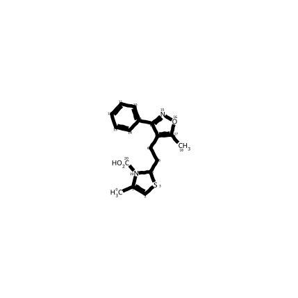 CC1=CSC(CCc2c(-c3ccccc3)noc2C)N1C(=O)O